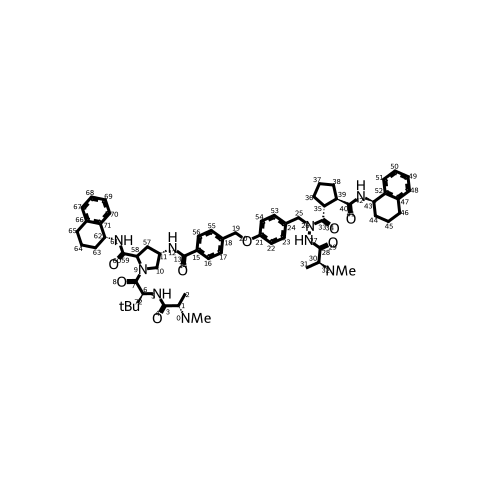 CN[C@@H](C)C(=O)N[C@H](C(=O)N1C[C@@H](NC(=O)c2ccc(COc3ccc(CN(NC(=O)[C@H](C)NC)C(=O)[C@@H]4CCC[C@H]4C(=O)N[C@@H]4CCCc5ccccc54)cc3)cc2)CC1C(=O)N[C@@H]1CCCc2ccccc21)C(C)(C)C